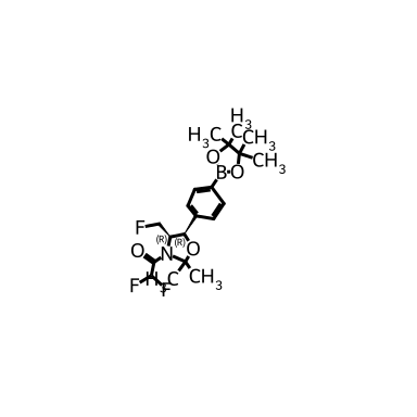 CC1(C)O[C@H](c2ccc(B3OC(C)(C)C(C)(C)O3)cc2)[C@H](CF)N1C(=O)C(F)F